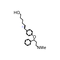 CNCCC(Oc1ccc(/C=C/CCCCO)cc1)c1ccccc1